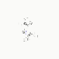 CCN(CC)c1ccc(/C=C/C(=C/C(=O)/C=C/c2ccc(N(CC)CC)cc2OS(=O)(=O)c2ccc([N+](=O)[O-])cc2N)OB(F)F)c(CS(=O)(=O)c2ccc(N)cc2[N+](=O)[O-])c1